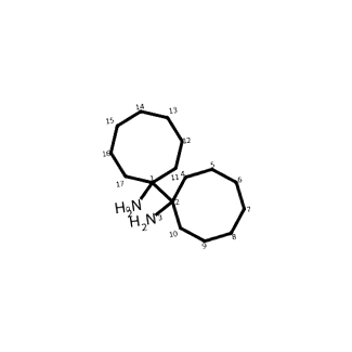 NC1(C2(N)CCCCCCC2)CCCCCCC1